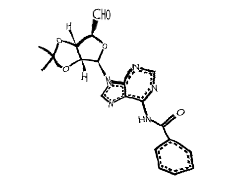 CC1(C)O[C@@H]2[C@H](O1)[C@@H](C=O)O[C@H]2n1cnc2c(NC(=O)c3ccccc3)ncnc21